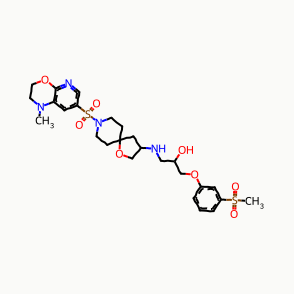 CN1CCOc2ncc(S(=O)(=O)N3CCC4(CC3)CC(NCC(O)COc3cccc(S(C)(=O)=O)c3)CO4)cc21